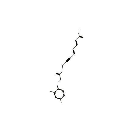 COC(=O)/C=C/C=C/C#CCOC(=O)COc1ccc(Cl)cc1Cl